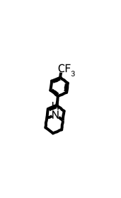 FC(F)(F)c1ccc(C2=CC3CCCC(C2)N3)cc1